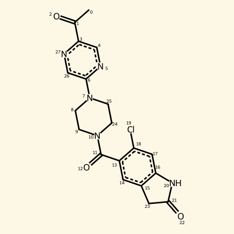 CC(=O)c1cnc(N2CCN(C(=O)c3cc4c(cc3Cl)NC(=O)C4)CC2)cn1